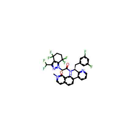 Cn1ccc2ccc(-c3cccnc3[C@H](Cc3cc(F)cc(F)c3)NC(=O)Cn3nc(C(F)F)c4c3C(F)(F)CCC4(F)F)cc2c1=O